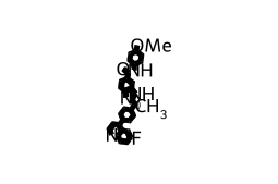 COC1CCC(NC(=O)c2ccc3nc([C@H](C)C4CCC(c5ccnc6ccc(F)cc56)CC4)[nH]c3c2)CC1